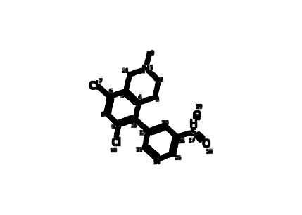 CN1CCc2c(c(Cl)cc(Cl)c2-c2cccc([SH](=O)=O)c2)C1